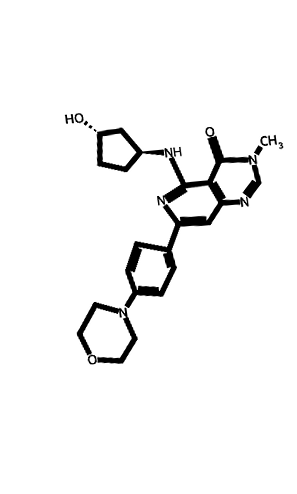 Cn1cnc2cc(-c3ccc(N4CCOCC4)cc3)nc(N[C@H]3CC[C@H](O)C3)c2c1=O